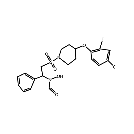 O=CN(O)C(CS(=O)(=O)N1CCC(Oc2ccc(Cl)cc2F)CC1)c1ccccc1